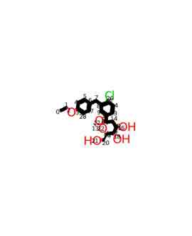 CCOc1ccc(Cc2cc([C@@]3(OC)C[C@@H](O)C(O)[C@@H](CO)O3)ccc2Cl)cc1